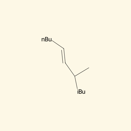 CCCC/C=C/C(C)C(C)CC